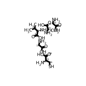 CC(C)[C@H](N)C(=O)O.C[C@H](N)C(=O)O.NCC(=O)O.NCC(=O)O.N[C@@H](CS)C(=O)O